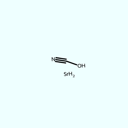 N#CO.[SrH2]